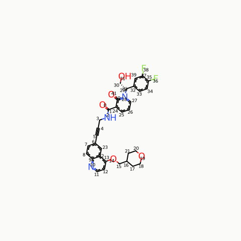 O=C(NCC#Cc1ccc2nccc(OCC3CCOCC3)c2c1)c1cccn([C@H](CO)c2ccc(F)c(F)c2)c1=O